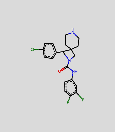 O=C(Nc1ccc(F)c(F)c1)N1CC2(CCNCC2)C1c1ccc(Cl)cc1